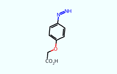 N=Nc1ccc(OCC(=O)O)cc1